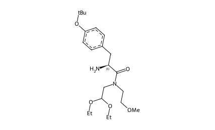 CCOC(CN(CCOC)C(=O)[C@@H](N)Cc1ccc(OC(C)(C)C)cc1)OCC